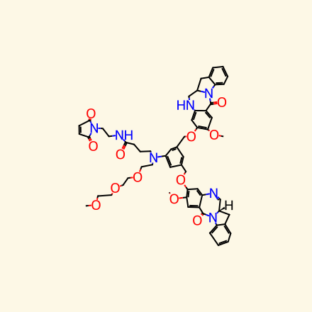 COCCOCCOCCN(CCCC(=O)NCCN1C(=O)C=CC1=O)c1cc(COc2cc3c(cc2OC)C(=O)N2c4ccccc4C[C@H]2C=N3)cc(COc2cc3c(cc2OC)C(=O)N2c4ccccc4CC2CN3)c1